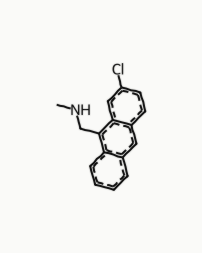 CNCc1c2ccccc2cc2ccc(Cl)cc12